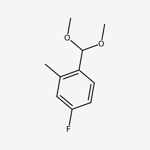 COC(OC)c1ccc(F)cc1C